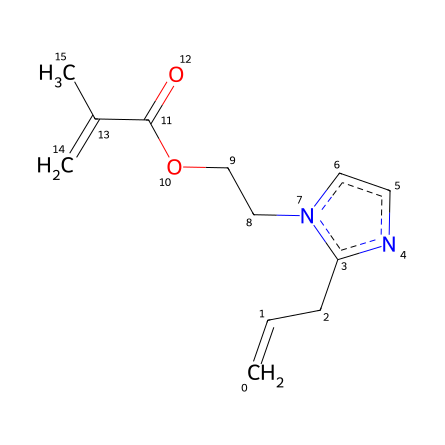 C=CCc1nccn1CCOC(=O)C(=C)C